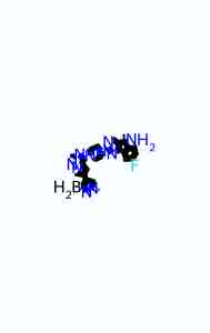 Bc1nn(C)cc1-c1cc2c(N3CCN(c4ncc([C@](C)(N)c5ccc(F)cc5)cn4)CC3)ncnn2c1